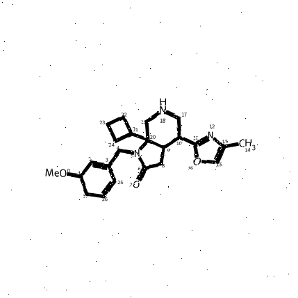 COC1C=C(CN2C(=O)CC3C(c4nc(C)co4)CNCC32C2CCC2)C=CC1